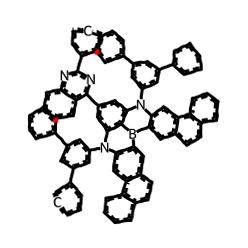 c1ccc(-c2cc(-c3ccccc3)cc(N3c4cc5c(ccc6ccccc65)cc4B4c5cc6ccc7ccccc7c6cc5N(c5cc(-c6ccccc6)cc(-c6ccccc6)c5)c5cc(-c6nc(-c7ccccc7)nc7ccccc67)cc3c54)c2)cc1